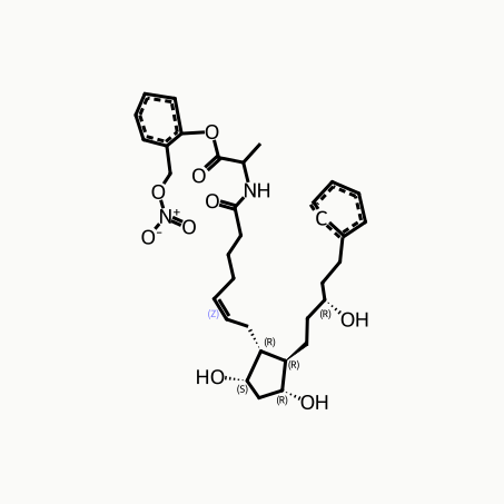 CC(NC(=O)CCC/C=C\C[C@@H]1[C@@H](CC[C@@H](O)CCc2ccccc2)[C@H](O)C[C@@H]1O)C(=O)Oc1ccccc1CO[N+](=O)[O-]